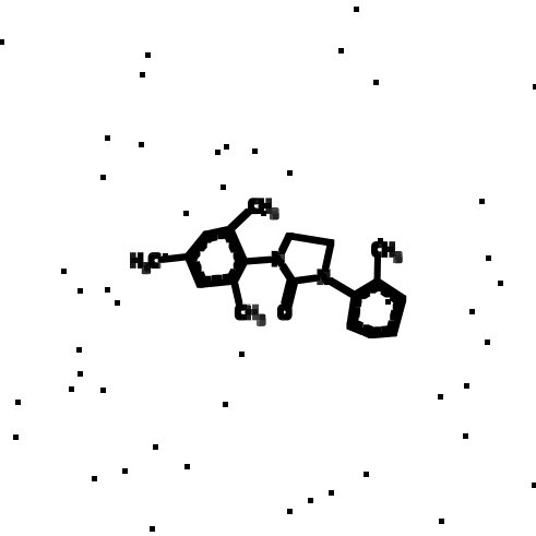 Cc1cc(C)c(N2CCN(c3ccccc3C)C2=O)c(C)c1